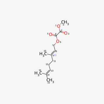 COC(=O)C(=O)OC/C=C(\C)CCC=C(C)C